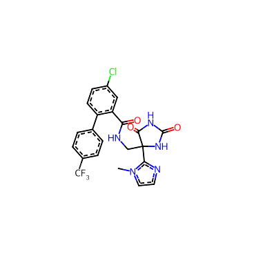 Cn1ccnc1C1(CNC(=O)c2cc(Cl)ccc2-c2ccc(C(F)(F)F)cc2)NC(=O)NC1=O